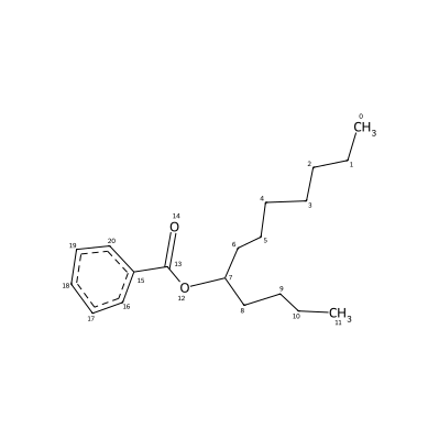 CCCCCCCC(CCCC)OC(=O)c1ccccc1